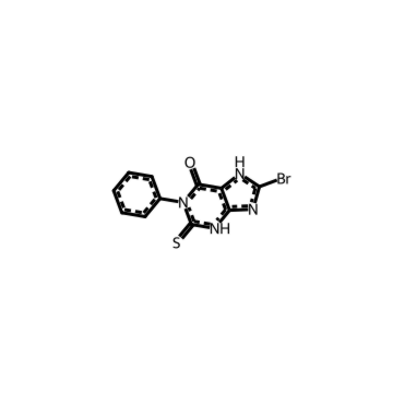 O=c1c2[nH]c(Br)nc2[nH]c(=S)n1-c1ccccc1